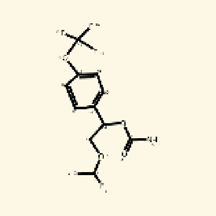 NC(=O)OC(COC(F)F)c1ccc(OC(F)(F)F)cc1